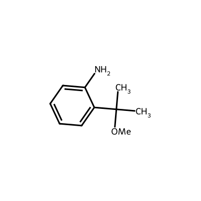 COC(C)(C)c1ccccc1N